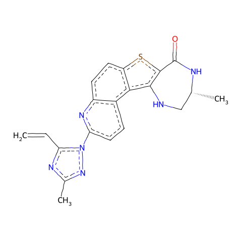 C=Cc1nc(C)nn1-c1ccc2c(ccc3sc4c(c32)NC[C@@H](C)NC4=O)n1